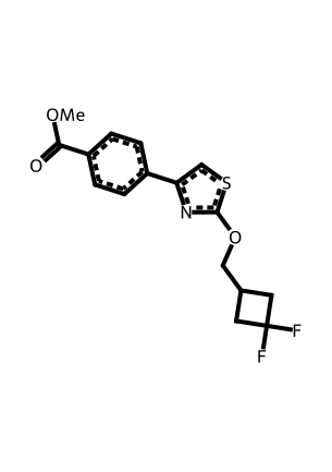 COC(=O)c1ccc(-c2csc(OCC3CC(F)(F)C3)n2)cc1